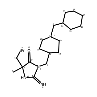 CC(C)CC1(C)NC(=N)N(CC2CCN(CC3CCCCC3)CC2)C1=O